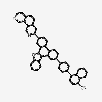 N#Cc1ccc(-c2ccc(-c3ccc4c5ccc(-c6cc7ccc8ccncc8c7cn6)cc5c5oc6ccccc6c5c4c3)cc2)c2ccccc12